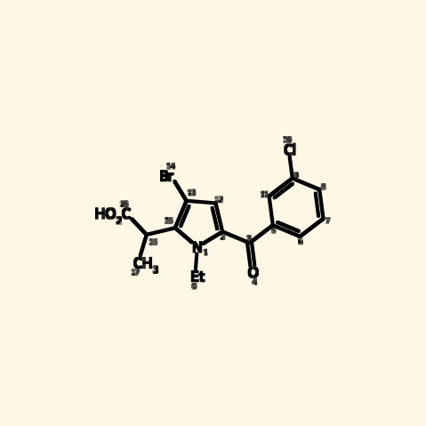 CCn1c(C(=O)c2cccc(Cl)c2)cc(Br)c1C(C)C(=O)O